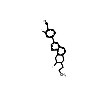 CCCC1Cc2ccc3cc(-c4ccc(C#N)c(F)c4)ccc3c2CC1F